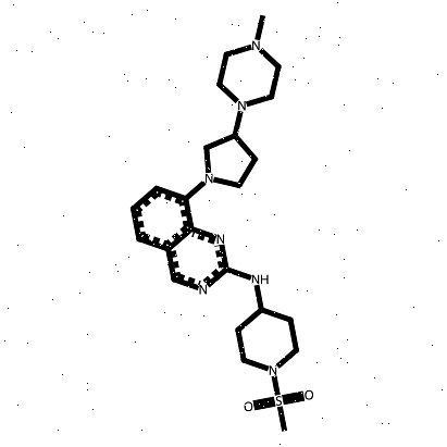 CN1CCN(C2CCN(c3cccc4cnc(NC5CCN(S(C)(=O)=O)CC5)nc34)C2)CC1